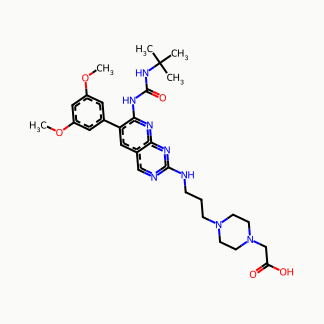 COc1cc(OC)cc(-c2cc3cnc(NCCCN4CCN(CC(=O)O)CC4)nc3nc2NC(=O)NC(C)(C)C)c1